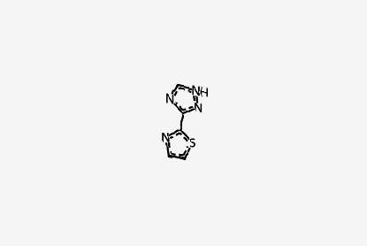 c1csc(-c2nc[nH]n2)n1